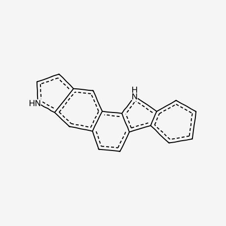 c1ccc2c(c1)[nH]c1c3cc4cc[nH]c4cc3ccc21